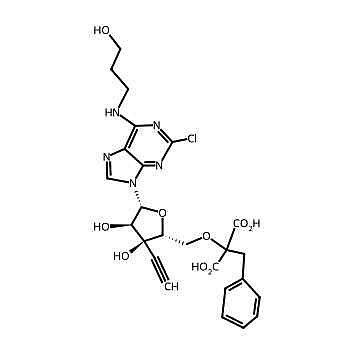 C#C[C@@]1(O)[C@@H](COC(Cc2ccccc2)(C(=O)O)C(=O)O)O[C@@H](n2cnc3c(NCCCO)nc(Cl)nc32)[C@@H]1O